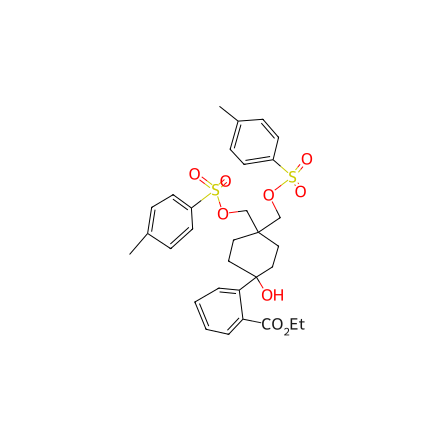 CCOC(=O)c1ccccc1C1(O)CCC(COS(=O)(=O)c2ccc(C)cc2)(COS(=O)(=O)c2ccc(C)cc2)CC1